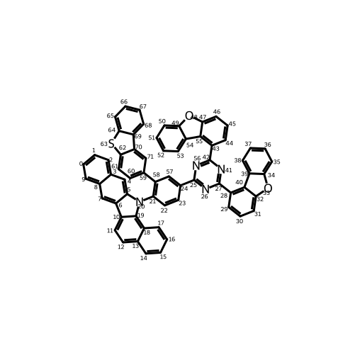 c1ccc2cc3c(cc2c1)c1ccc2ccccc2c1n3-c1ccc(-c2nc(-c3cccc4oc5ccccc5c34)nc(-c3cccc4oc5ccccc5c34)n2)cc1-c1ccc2sc3ccccc3c2c1